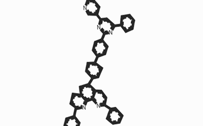 c1ccc(-c2cc(-c3cccnc3)nc(-c3ccc(-c4ccc(-c5cc6ccc(-c7ccccc7)nc6c6nc(-c7ccccc7)ccc56)cc4)cc3)n2)cc1